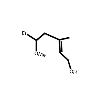 CCC(CC(C)=CCO)OC